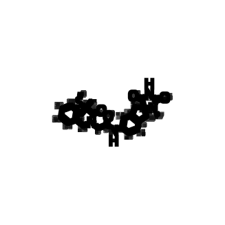 CSC(C)(C)C(=O)N(CC(=O)Nc1ccc2c(c1)CC1(C2)C(=O)NC(=O)N1C)Cc1ccccc1